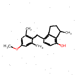 COc1cc(C)c(Cc2ccc(O)c3c2CCC3C)c(C)c1